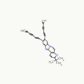 C#CC#CC#Cc1cc2nc3c4ccc(C(C)(C)C)nc4ccn3c2cc1C#CC#CC#C